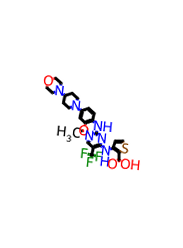 COc1cc(N2CCC(N3CCOCC3)CC2)ccc1Nc1ncc(C(F)(F)F)c(Nc2ccsc2C(=O)O)n1